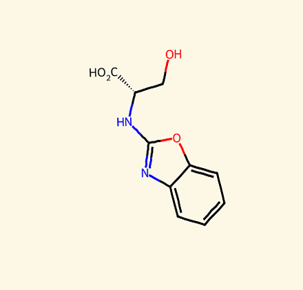 O=C(O)[C@H](CO)Nc1nc2ccccc2o1